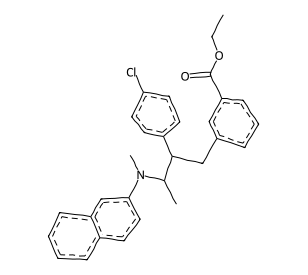 CCOC(=O)c1cccc(CC(c2ccc(Cl)cc2)C(C)N(C)c2ccc3ccccc3c2)c1